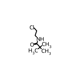 CC(C)(C)C(=O)NCCCl